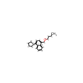 CCCCOCc1ccc([SiH]2CCCC2)c2ccccc12